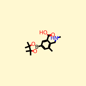 CNCc1c(C)cc(B2OC(C)(C)C(C)(C)O2)cc1C(=O)O